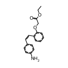 CCOC(=O)COc1ccccc1/C=C\c1ccc(N)cc1